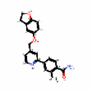 Cc1cc(-c2cc(COc3ccc4c(c3)CCO4)ccn2)ccc1C(N)=O